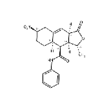 C[C@H]1OC(=O)[C@@H]2C=C3C[C@H]([N+](=O)[O-])CC[C@@H]3[C@H](C(=O)Nc3ccccc3)[C@H]12